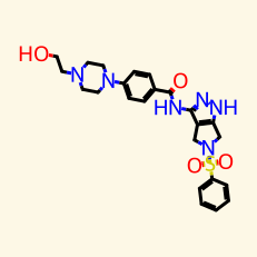 O=C(Nc1n[nH]c2c1CN(S(=O)(=O)c1ccccc1)C2)c1ccc(N2CCN(CCO)CC2)cc1